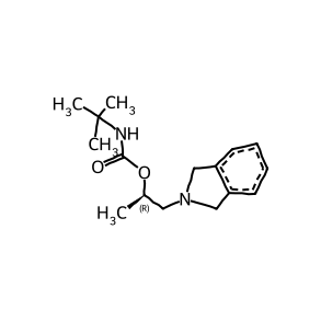 C[C@H](CN1Cc2ccccc2C1)OC(=O)NC(C)(C)C